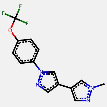 Cn1cc(-c2cnn(-c3ccc(OC(F)(F)F)cc3)c2)cn1